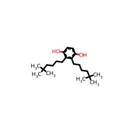 CC(C)(C)CCCCc1c(O)ccc(O)c1CCCCC(C)(C)C